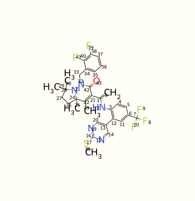 C=C(Nc1ccc(C(F)(F)F)cc1-c1cnc(SC)nc1)C1=C(C)C2(C)CCC(C)(C)N2N(Cc2cccc(F)c2F)C1=O